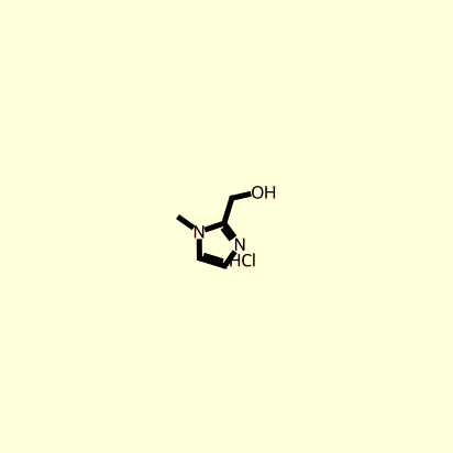 Cl.Cn1ccnc1CO